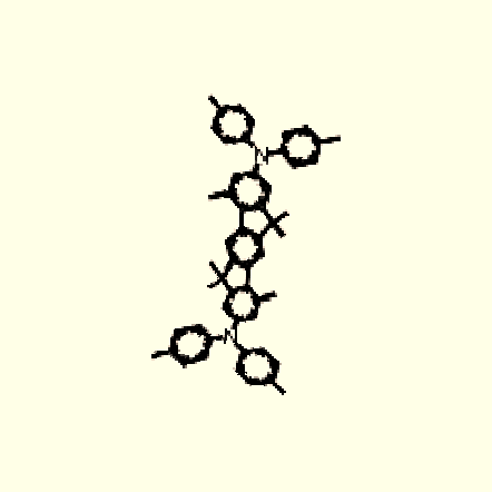 Cc1ccc(N(c2ccc(C)cc2)c2cc(C)c3c(c2)C(C)(C)c2cc4c(cc2-3)C(C)(C)c2cc(N(c3ccc(C)cc3)c3ccc(C)cc3)cc(C)c2-4)cc1